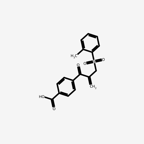 C=C(CS(=O)(=O)c1ccccc1C)C(=O)c1ccc(C(=O)O)cc1